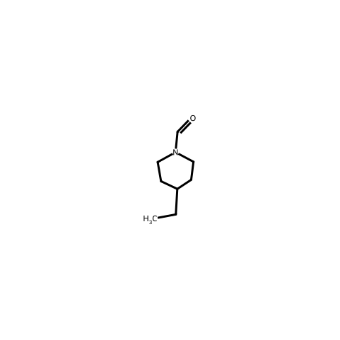 CCC1CCN(C=O)CC1